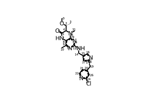 CO[C@H](C)C1C(=O)Nc2c(C)nc(NCc3cnn(Cc4ccnc(Cl)c4)c3)nc2N1C